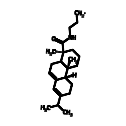 [CH2]CCNC(=O)[C@@]1(C)CCC[C@@]2(C)C1CC=C1C=C(C(C)C)CC[C@H]12